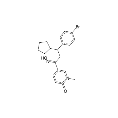 Cn1cc(/C(CC(c2ccc(Br)cc2)C2CCCC2)=N/O)ccc1=O